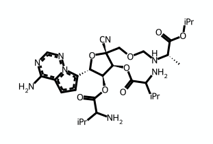 CC(C)OC(=O)[C@H](C)NCOC[C@@]1(C#N)O[C@@H](c2ccc3c(N)ncnn23)[C@H](OC(=O)C(N)C(C)C)[C@@H]1OC(=O)C(N)C(C)C